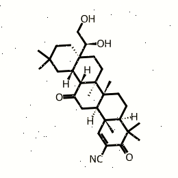 CC1(C)CC[C@]2([C@H](O)CO)CC[C@]3(C)[C@H](C(=O)C[C@@H]4[C@@]5(C)C=C(C#N)C(=O)C(C)(C)[C@@H]5CC[C@]43C)[C@@H]2C1